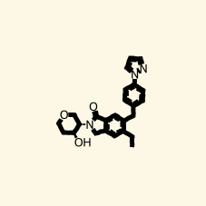 CCc1cc2c(cc1Cc1ccc(-n3cccn3)cc1)C(=O)N([C@H]1COCC[C@@H]1O)C2